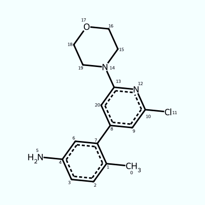 Cc1ccc(N)cc1-c1cc(Cl)nc(N2CCOCC2)c1